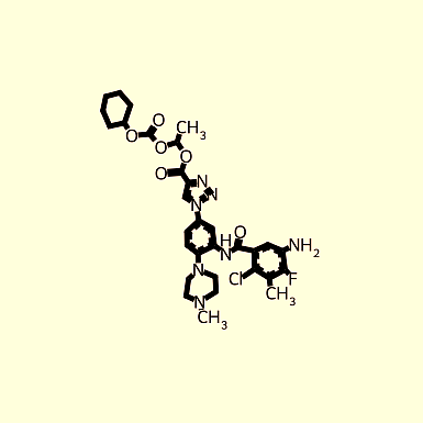 Cc1c(F)c(N)cc(C(=O)Nc2cc(-n3cc(C(=O)OC(C)OC(=O)OC4CCCCC4)nn3)ccc2N2CCN(C)CC2)c1Cl